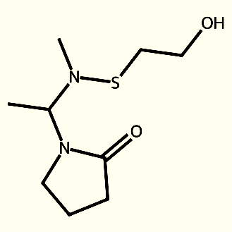 CC(N(C)SCCO)N1CCCC1=O